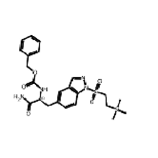 C[Si](C)(C)CCS(=O)(=O)n1ncc2cc(C[C@H](NC(=O)OCc3ccccc3)C(N)=O)ccc21